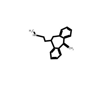 C=C1c2ccccc2CC(CCNC)c2ccccc21